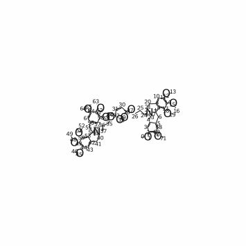 COc1ccc(CC2c3c(cc(OC)c(OC)c3OC)CC[N+]2(C)CCCOC(=O)/C=C\C(=O)OCCC[N+]2(C)CCc3cc(OC)c(OC)c(OC)c3C2Cc2cc(OC)c(OC)c(OC)c2)cc1OC